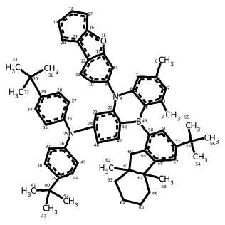 Cc1cc(C)c2c(c1)N(c1ccc3c(c1)oc1ccccc13)c1cc(N(c3ccc(C(C)(C)C)cc3)c3ccc(C(C)(C)C)cc3)ccc1B2c1cc(C(C)(C)C)cc2c1CC1(C)CCCCC21C